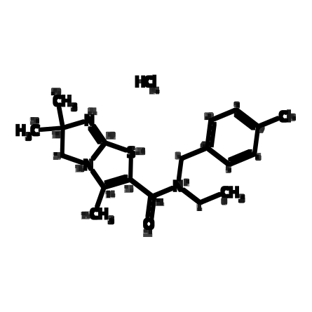 CCN(Cc1ccc(Cl)cc1)C(=O)C1=C(C)N2CC(C)(C)N=C2S1.Cl